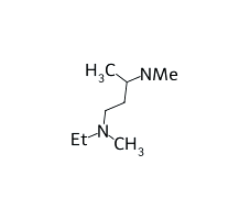 CCN(C)CCC(C)NC